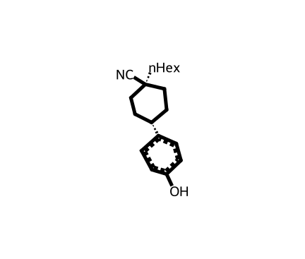 CCCCCC[C@]1(C#N)CC[C@H](c2ccc(O)cc2)CC1